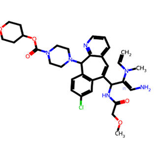 C=CN(C)/C(=C\N)C(NC(=O)COC)C1=Cc2cccnc2C(N2CCN(C(=O)OC3CCOCC3)CC2)c2ccc(Cl)cc21